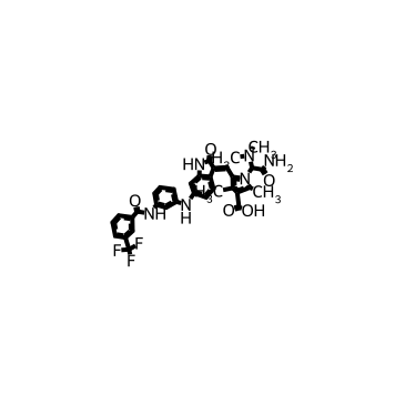 Cc1c(C(=O)O)c(C)n(C(C(N)=O)N(C)C)c1C=C1C(=O)Nc2cc(Nc3cccc(NC(=O)c4cccc(C(F)(F)F)c4)c3)ccc21